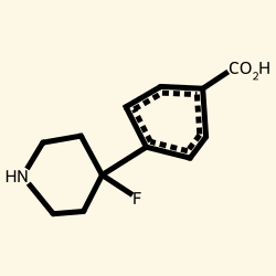 O=C(O)c1ccc(C2(F)CCNCC2)cc1